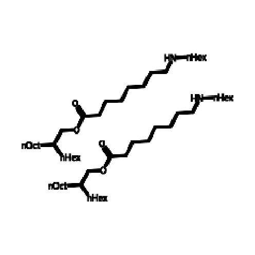 CCCCCCCCC(CCCCCC)COC(=O)CCCCCCCNCCCCCC.CCCCCCCCC(CCCCCC)COC(=O)CCCCCCCNCCCCCC